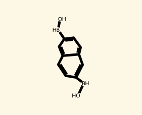 OBc1ccc2cc(BO)ccc2c1